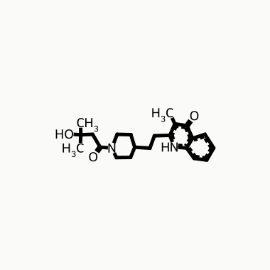 Cc1c(CCC2CCN(C(=O)CC(C)(C)O)CC2)[nH]c2ccccc2c1=O